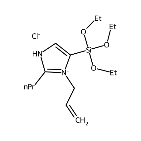 C=CC[n+]1c([Si](OCC)(OCC)OCC)c[nH]c1CCC.[Cl-]